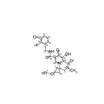 CCCO[C@H]1C[C@@]2(CN(C)C(=O)c3c(O)c(=O)c(C(=O)NCc4cccc(Cl)c4F)cn32)C1